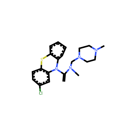 C=C(N(C)CN1CCN(C)CC1)N1c2ccccc2Sc2ccc(Cl)cc21